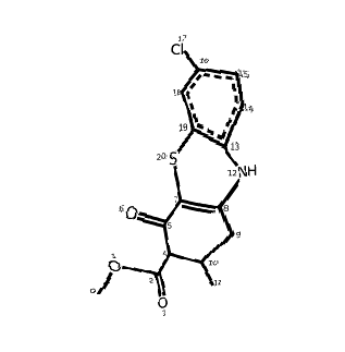 COC(=O)C1C(=O)C2=C(CC1C)Nc1ccc(Cl)cc1S2